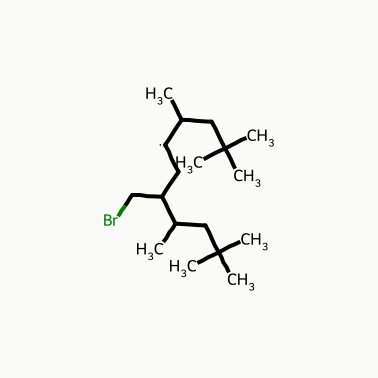 CC([CH]CC(CBr)C(C)CC(C)(C)C)CC(C)(C)C